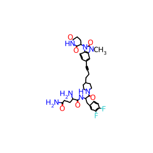 Cn1c(=O)n(C2CCC(=O)NC2=O)c2ccc(C#CCCC3CCN(C(=O)C(Cc4ccc(F)c(F)c4)NC(=O)C(N)CCC(N)=O)CC3)cc21